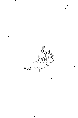 CC(=O)O[C@@H]1CC[C@]2(C)C3=CC(OOC(C)(C)C)[C@]4(C)C(=O)CC[C@H]4[C@@H]3CC[C@@H]2C1